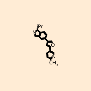 Cc1ccc(-c2cc(-c3ccc4c(c3)C=NC4C(C)C)co2)cn1